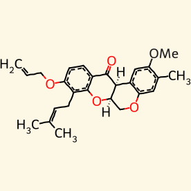 C=CCOc1ccc2c(c1CC=C(C)C)O[C@@H]1COc3cc(C)c(OC)cc3[C@@H]1C2=O